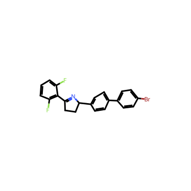 Fc1cccc(F)c1C1=NC(c2ccc(-c3ccc(Br)cc3)cc2)CC1